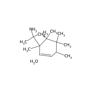 CC1C=CC(C)(C(C)(C)N)C(C)(C)C1(C)C.O